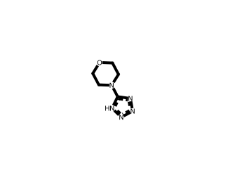 C1CN(c2nnn[nH]2)CCO1